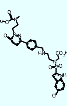 CN(CCn1nc(-c2ccc(CNCCN(CC(=O)O)S(=O)(=O)c3cc4cc(Cl)ccc4[nH]3)cc2)ccc1=O)C(=O)OC(C)(C)C